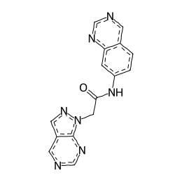 O=C(Cn1ncc2cncnc21)Nc1ccc2cncnc2c1